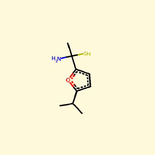 CC(C)c1ccc(C(C)(N)S)o1